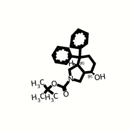 CC(C)(C)OC(=O)N1CC2[C@H](O)CCC(c3ccccc3)(c3ccccc3)[C@@H]2C1